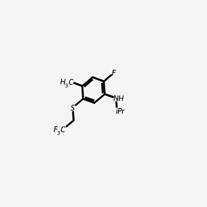 Cc1cc(F)c(NC(C)C)cc1SCC(F)(F)F